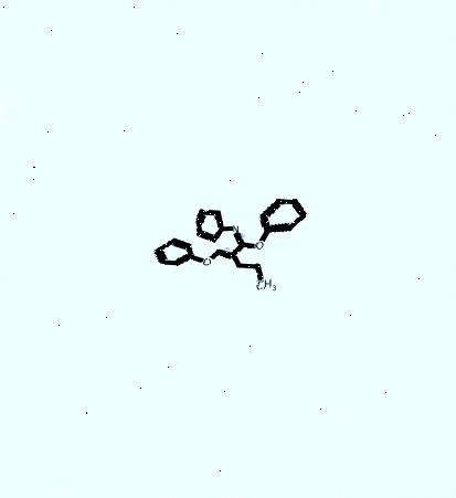 CCCC(=C\Oc1ccccc1)/C(=N\c1ccccc1)Oc1ccccc1